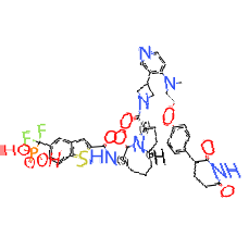 CN(CCOc1ccc(C2CCC(=O)NC2=O)cc1)c1ccncc1C1CN(C(=O)[C@@H]2CC[C@@H]3CCC[C@H](NC(=O)c4cc5cc(C(F)(F)P(=O)(O)O)ccc5s4)C(=O)N32)C1